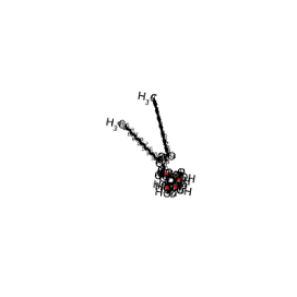 CC#CC#CC#CC#CC#CC#CC#CC(=O)OC[C@H](COP(=O)(O)OC1C(O)[C@@H](OP(=O)(O)O)C(OP(=O)(O)O)[C@@H](OP(=O)(O)O)[C@H]1O)OC(=O)CCCCCCCCCCCCCCC